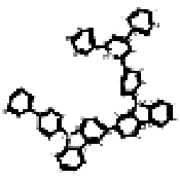 c1ccc(-c2ccc(-n3c4ccccc4c4cc(-c5ccc6c7ccccc7n(-c7ccc(-c8cc(-c9ccccc9)cc(-c9ccccc9)n8)cc7)c6c5)ccc43)cc2)cc1